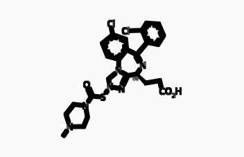 CN1CCN(C(=O)SN2CN3C(=N2)[C@H](CCC(=O)O)N=C(c2ccccc2Cl)c2cc(Cl)ccc23)CC1